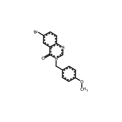 COc1ccc(Cn2cnc3ccc(Br)cc3c2=O)cc1